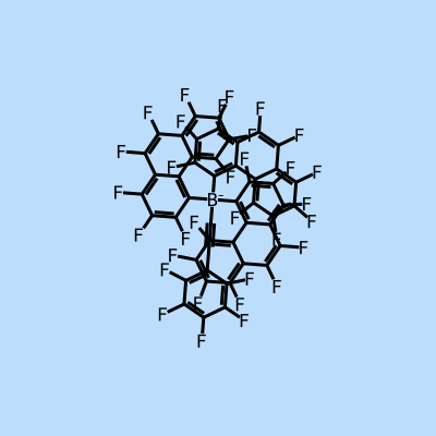 Fc1c(F)c(F)c(C#C[B-](c2c(F)c(F)c(F)c3c(F)c(F)c4c(F)c(F)c(F)c(F)c4c23)(c2c(F)c(F)c(F)c3c(F)c(F)c4c(F)c(F)c(F)c(F)c4c23)c2c(F)c(F)c(F)c3c(F)c(F)c4c(F)c(F)c(F)c(F)c4c23)c(F)c1F